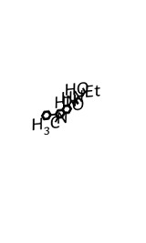 CC[C@H](O)CNC(=O)Nc1ccc2nc(C)c(-c3ccccc3)cc2c1